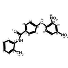 Cc1ccccc1NC(=O)c1ccc(Oc2ccc([N+](=O)[O-])cc2[N+](=O)[O-])cc1